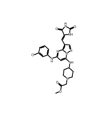 COC(=O)CN1CCC(Nc2cc(Nc3cccc(Cl)c3)nc3c(/C=C4\NC(=O)NC4=O)cnn23)CC1